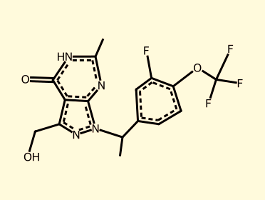 Cc1nc2c(c(CO)nn2C(C)c2ccc(OC(F)(F)F)c(F)c2)c(=O)[nH]1